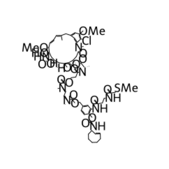 COc1cc2cc(c1Cl)N(C)C(=O)C[C@H](OC(=O)[C@H](C)N(C)C(=O)CCOC(=O)N(C)CCN(C)C(=O)OCc1ccc(OC(=O)NC3/C=C/CCCCC3)c(NC(=O)CCNC(=O)CSC)c1)[C@]1(C)O[C@H]1[C@H](C)[C@@H]1C[C@@](O)(NC(=O)O1)[C@H](OC)/C=C/C=C(\C)C2